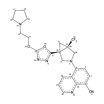 N#Cc1ccc(N2C[C@]3(c4nnc(OCCN5CCCC5)o4)C[C@]3(C(F)(F)F)C2)c2cccnc12